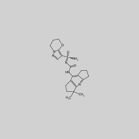 CC1(C)CCc2c1nc1c(c2NC(=O)N=[S@@](N)(=O)c2cnn3c2OCCC3)CCC1